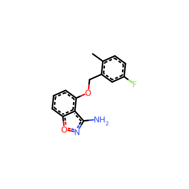 Cc1ccc(F)cc1COc1cccc2onc(N)c12